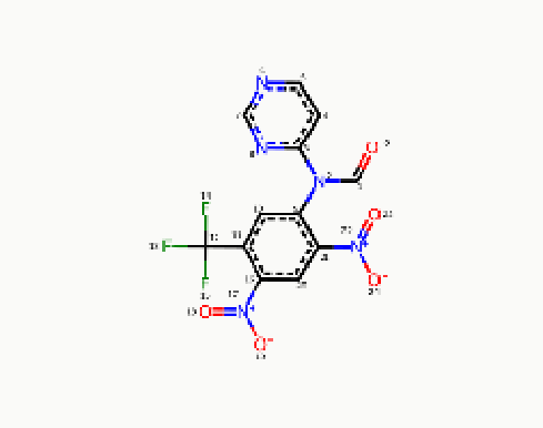 O=CN(c1ccncn1)c1cc(C(F)(F)F)c([N+](=O)[O-])cc1[N+](=O)[O-]